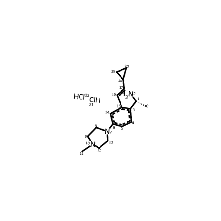 C[C@@H](N)c1ccc(N2CCN(C)CC2)cc1/C=C/C1CC1.Cl.Cl